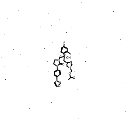 CC(=O)OCN1C=NN(C[C@](O)(c2ccc(F)cc2F)[C@@H](C)N2CCN(c3ccc(-n4ccnn4)cc3)C2=O)C1